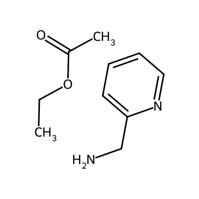 CCOC(C)=O.NCc1ccccn1